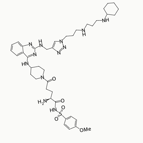 COc1ccc(S(=O)(=O)NC(=O)[C@@H](N)CCC(=O)N2CCC(Nc3nc(NCc4cn(CCCNCCCNC5CCCCC5)nn4)nc4ccccc34)CC2)cc1